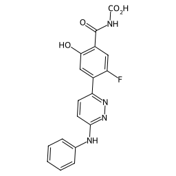 O=C(O)NC(=O)c1cc(F)c(-c2ccc(Nc3ccccc3)nn2)cc1O